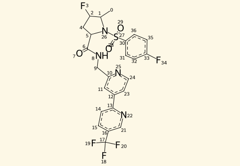 CC1C(F)CC(C(=O)NCc2cc(-c3ccc(C(F)(F)F)cn3)ccn2)N1S(=O)(=O)c1ccc(F)cc1